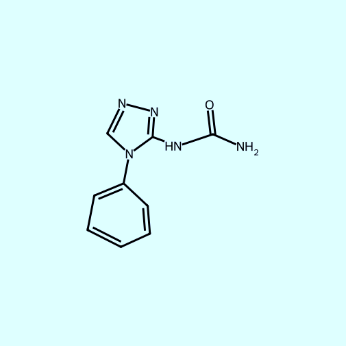 NC(=O)Nc1nncn1-c1ccccc1